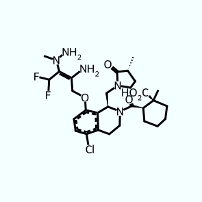 C[C@@H]1CCN(C[C@@H]2c3c(OC/C(N)=C(\C(F)F)N(C)N)ccc(Cl)c3CCN2C(=O)[C@@H]2CCCC[C@]2(C)C(=O)O)C1=O